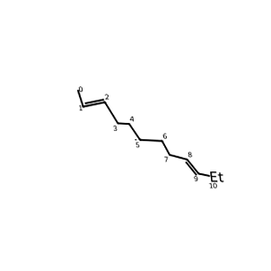 CC=CCC[CH]CCC=CCC